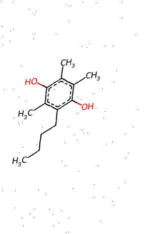 CCCCc1c(C)c(O)c(C)c(C)c1O